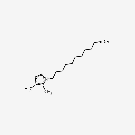 CCCCCCCCCCCCCCCCCCCC[n+]1ccn(C)c1C